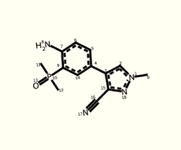 Cn1cc(-c2ccc(N)c(P(C)(C)=O)c2)c(C#N)n1